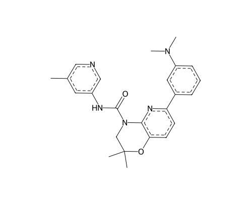 Cc1cncc(NC(=O)N2CC(C)(C)Oc3ccc(-c4cccc(N(C)C)c4)nc32)c1